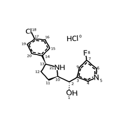 Cl.O[C@@H](c1cncc(F)c1)[C@H]1CC[C@@H](c2ccc(Cl)cc2)N1